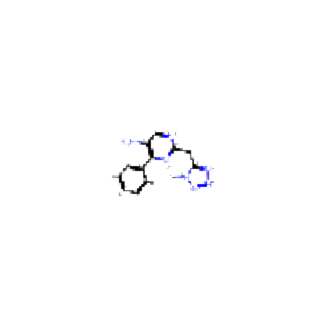 Cn1nnnc1Cc1ncc(N)c(-c2ccccc2)n1